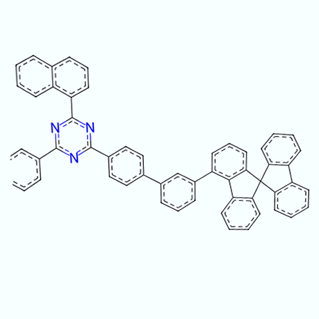 c1ccc(-c2nc(-c3ccc(-c4cccc(-c5cccc6c5-c5ccccc5C65c6ccccc6-c6ccccc65)c4)cc3)nc(-c3cccc4ccccc34)n2)cc1